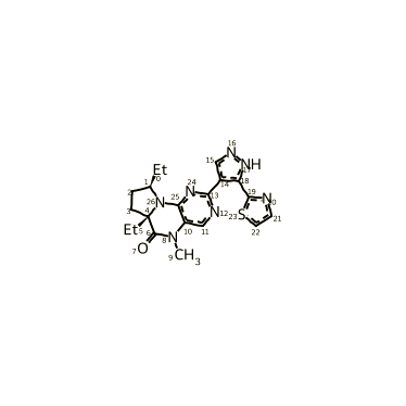 CC[C@@H]1CC[C@@]2(CC)C(=O)N(C)c3cnc(-c4cn[nH]c4-c4nccs4)nc3N12